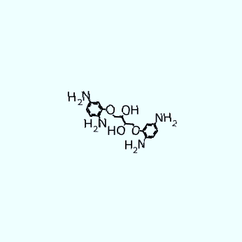 Nc1ccc(N)c(OCC(O)C(O)COc2cc(N)ccc2N)c1